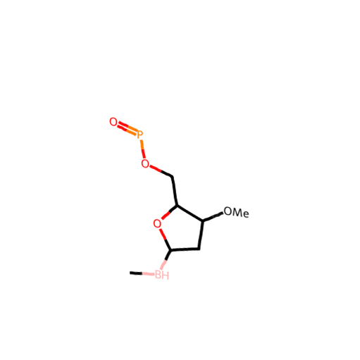 CBC1CC(OC)C(COP=O)O1